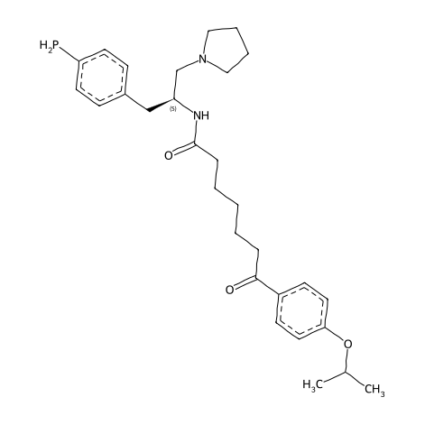 CC(C)Oc1ccc(C(=O)CCCCCC(=O)N[C@@H](Cc2ccc(P)cc2)CN2CCCC2)cc1